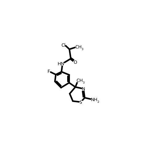 CC(Cl)C(=O)Nc1cc(C2(C)CCSC(N)=N2)ccc1F